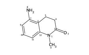 CN1C(=O)CCc2c(N)cccc21